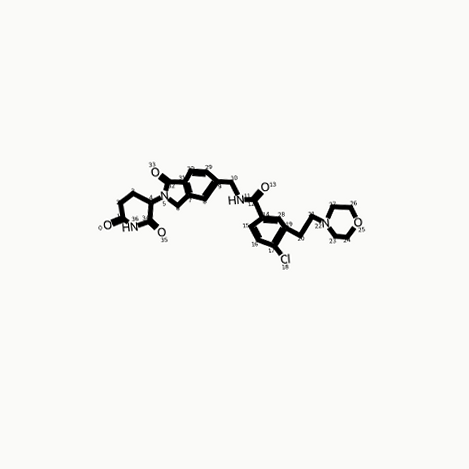 O=C1CCC(N2Cc3cc(CNC(=O)c4ccc(Cl)c(CCN5CCOCC5)c4)ccc3C2=O)C(=O)N1